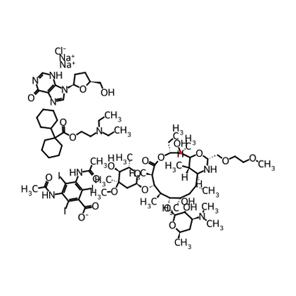 CC(=O)Nc1c(I)c(NC(C)=O)c(I)c(C(=O)[O-])c1I.CCN(CC)CCOC(=O)C1(C2CCCCC2)CCCCC1.CC[C@H]1OC(=O)[C@H](C)[C@@H](O[C@H]2C[C@@](C)(OC)[C@@H](O)[C@H](C)O2)[C@H](C)[C@@H](O[C@@H]2O[C@H](C)C[C@H](N(C)C)[C@H]2O)[C@](C)(O)C[C@@H](C)[C@@H]2N[C@@H](COCCOC)O[C@@H]([C@H]2C)[C@]1(C)O.O=c1nc[nH]c2c1ncn2[C@H]1CC[C@@H](CO)O1.[Cl-].[Na+].[Na+]